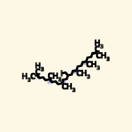 CC(C)=CCC/C(C)=C/CC/C(C)=C/CC(CI)C/C=C(\C)CC/C=C(\C)CCC=C(C)C